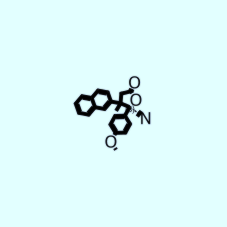 COc1ccc([C@]2(C#N)OC(=O)CC2(C)c2ccc3ccccc3c2)cc1